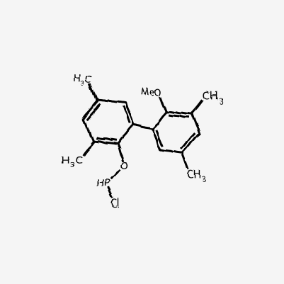 COc1c(C)cc(C)cc1-c1cc(C)cc(C)c1OPCl